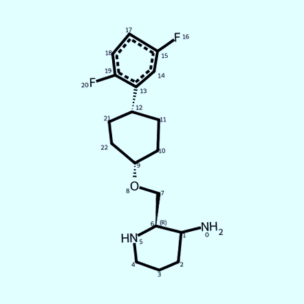 NC1CCCN[C@H]1CO[C@H]1CC[C@@H](c2cc(F)ccc2F)CC1